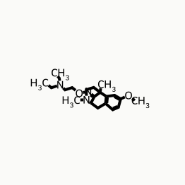 CCN(CC)CCO/N=C1\C2Cc3ccc(OC)cc3C1(C)CCN2C